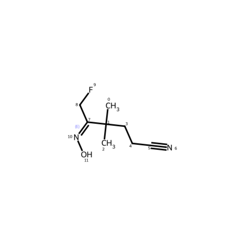 CC(C)(CCC#N)/C(CF)=N\O